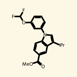 COC(=O)c1ccc2c(c1)c(C(C)C)cn2-c1cccc(OC(F)F)c1